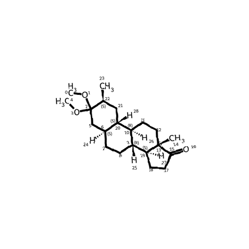 COC1(OC)C[C@@H]2CC[C@@H]3[C@H](CC[C@]4(C)C(=O)CC[C@@H]34)[C@H]2C[C@@H]1C